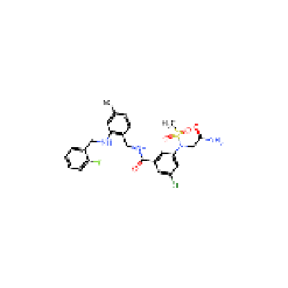 CS(=O)(=O)N(CC(N)=O)c1cc(Cl)cc(C(=O)NCc2ccc(C#N)cc2NCc2ccccc2F)c1